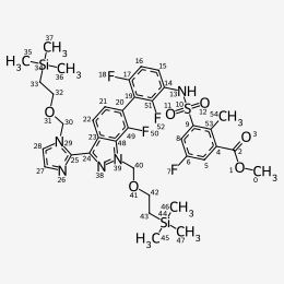 COC(=O)c1cc(F)cc(S(=O)(=O)Nc2ccc(F)c(-c3ccc4c(-c5nccn5COCC[Si](C)(C)C)nn(COCC[Si](C)(C)C)c4c3F)c2F)c1C